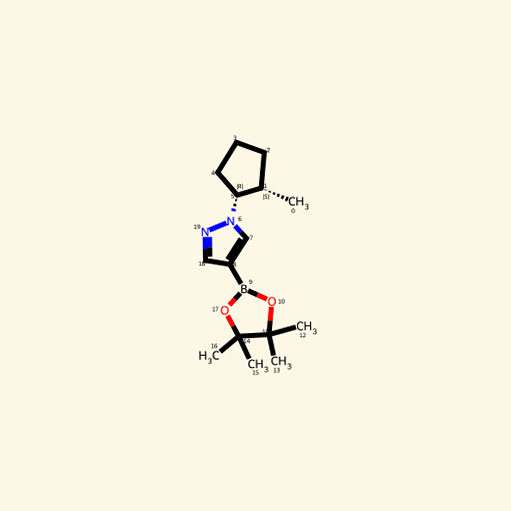 C[C@H]1CCC[C@H]1n1cc(B2OC(C)(C)C(C)(C)O2)cn1